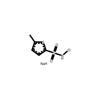 Cc1ccc(S(=O)(=O)NCl)s1.[NaH]